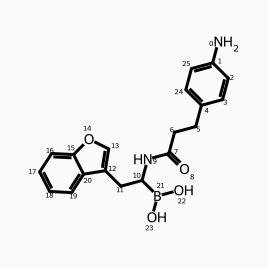 Nc1ccc(CCC(=O)NC(Cc2coc3ccccc23)B(O)O)cc1